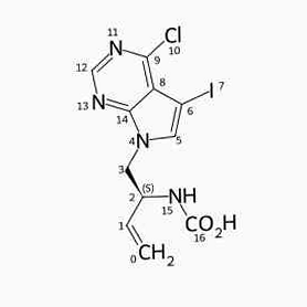 C=C[C@@H](Cn1cc(I)c2c(Cl)ncnc21)NC(=O)O